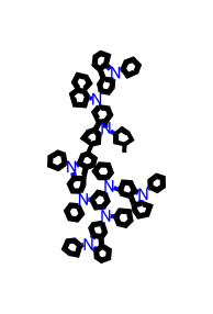 CC1C=C(n2c3ccc(N(c4ccc5c(c4)c4ccccc4n5-c4ccccc4)c4cccc5ccccc45)cc3c3ccc(-c4ccc5c6cc(N(c7ccccc7)c7cc(N(c8ccccc8)c8ccc9c(c8)c8ccccc8n9-c8ccccc8)cc(N(c8ccccc8)c8ccc9c(c8)c8ccccc8n9-c8ccccc8)c7)ccc6n(-c6ccccc6)c5c4)cc32)C=CC1